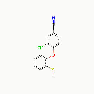 CSc1ccccc1Oc1ccc(C#N)cc1Cl